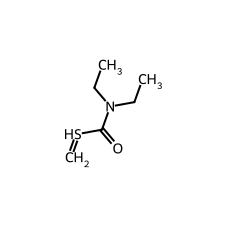 C=[SH]C(=O)N(CC)CC